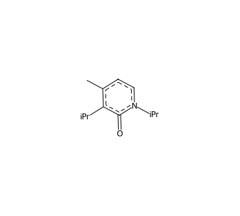 Cc1ccn(C(C)C)c(=O)c1C(C)C